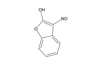 O=Nc1c(O)oc2ccccc12